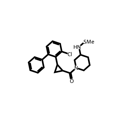 CSNC1CCCN(C(=O)C2CC2c2c(Cl)cccc2-c2ccccc2)C1